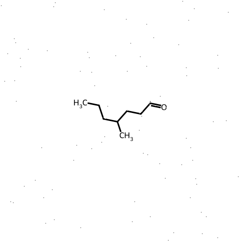 CCCC(C)CC[C]=O